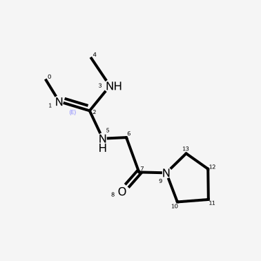 C/N=C(\NC)NCC(=O)N1CCCC1